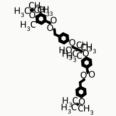 Cc1cc(C(=O)OCCc2ccc(OC(O)C(C)(C)C(C)(C)Oc3ccc(C(=O)OCCc4ccc(OC(C)(C)C)cc4)cc3)cc2)cc(C)c1OC(C)(C)C